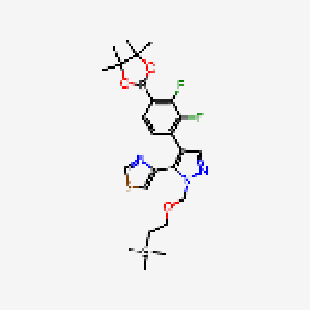 CC1(C)OB(c2ccc(-c3cnn(COCC[Si](C)(C)C)c3-c3cscn3)c(F)c2F)OC1(C)C